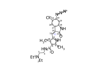 CCN(CC)CCNC(=O)c1c(C)[nH]c(/C=C2\C(=O)Nc3cc(N=[N+]=[N-])c(Cl)cc32)c1C